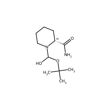 CC(C)(C)OC(O)N1CCCC[C@@H]1C(N)=O